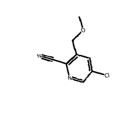 COCc1cc(Cl)cnc1C#N